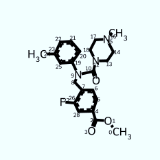 COC(=O)c1ccc(CN(C(=O)N2CCN(C)CC2)c2cccc(C)c2)c(F)c1